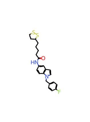 O=C(CCCCC1CCSS1)Nc1ccc2c(ccn2Cc2ccc(F)cc2)c1